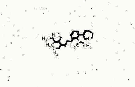 C=CN(C)c1c(CC/C=C(CC)\C(CC)=C(/C)CC)cccc1C1=CCCCCC1